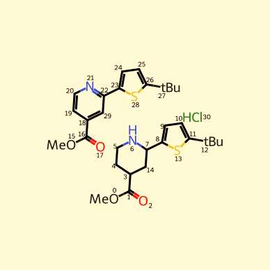 COC(=O)C1CCNC(c2ccc(C(C)(C)C)s2)C1.COC(=O)c1ccnc(-c2ccc(C(C)(C)C)s2)c1.Cl